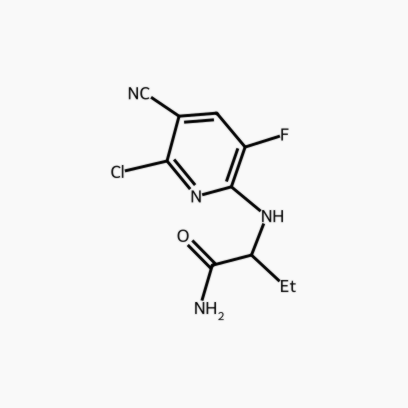 CCC(Nc1nc(Cl)c(C#N)cc1F)C(N)=O